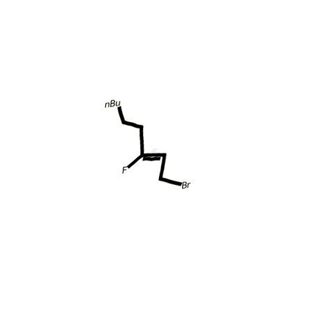 CCCCCC/C(F)=C/CBr